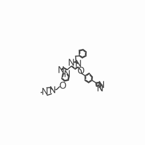 CN1CCN(CCOc2ccn3c(-c4cc(OCc5ccc(-c6cnn(C)c6)cc5)nc(Cc5ccccc5)n4)cnc3c2)CC1